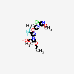 CCCCO[C@H]1CN(c2cnc(OC3CCN(c4cc(OC)ncc4Cl)CC3C)c(C(F)(F)F)c2)[C@@H](CC(=O)O)[C@@H]1C